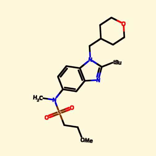 COCCS(=O)(=O)N(C)c1ccc2c(c1)nc(C(C)(C)C)n2CC1CCOCC1